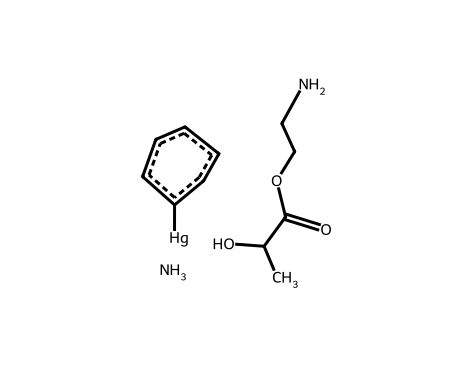 CC(O)C(=O)OCCN.N.[Hg][c]1ccccc1